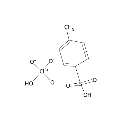 Cc1ccc(S(=O)(=O)O)cc1.[O-][Cl+3]([O-])([O-])O